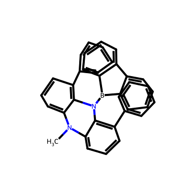 CN1c2cccc(-c3ccccc3)c2N(B2c3ccccc3-c3ccccc32)c2c(-c3ccccc3)cccc21